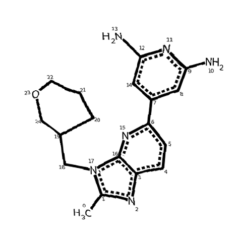 Cc1nc2ccc(-c3cc(N)nc(N)c3)nc2n1CC1CCCOC1